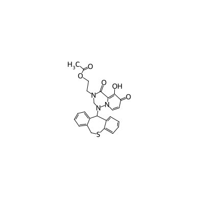 CC(=O)OCCN1CN(C2c3ccccc3CSc3ccccc32)n2ccc(=O)c(O)c2C1=O